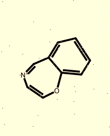 C1=COc2ccccc2C=[N+]1